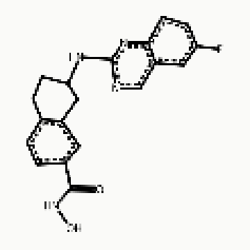 O=C(NO)c1ccc2c(c1)CC(Nc1ncc3cc(F)ccc3n1)CC2